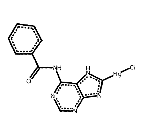 O=C(Nc1ncnc2n[c]([Hg][Cl])[nH]c12)c1ccccc1